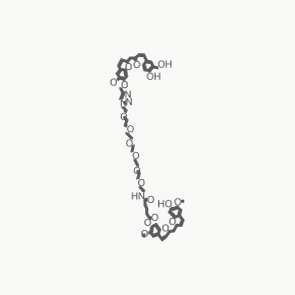 COc1cc(/C=C\C(=O)CC(=O)/C=C\c2ccc(OC(=O)CCCC(=O)NCCOCCOCCOCCOCCOCCOCCn3cc(COc4ccc(/C=C\C(=O)CC(=O)/C=C\c5ccc(O)c(CO)c5)cc4OC)nn3)c(OC)c2)ccc1O